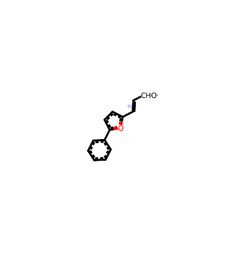 O=[C]/C=C/c1ccc(-c2ccccc2)o1